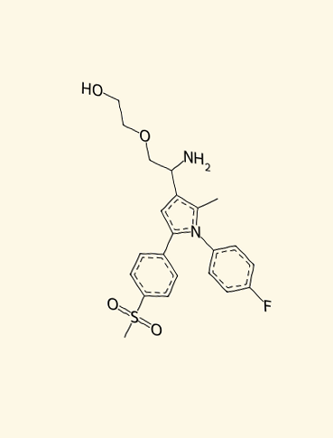 Cc1c(C(N)COCCO)cc(-c2ccc(S(C)(=O)=O)cc2)n1-c1ccc(F)cc1